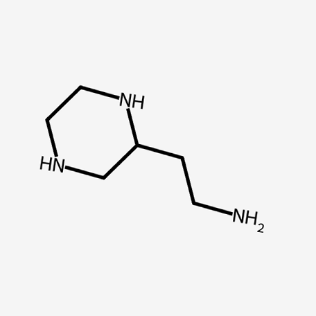 NCCC1CNCCN1